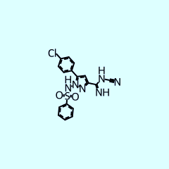 N#CNC(=N)c1cc(-c2ccc(Cl)cc2)n(NS(=O)(=O)c2ccccc2)n1